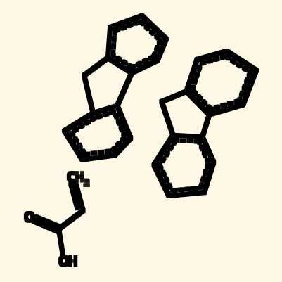 C=CC(=O)O.c1ccc2c(c1)Cc1ccccc1-2.c1ccc2c(c1)Cc1ccccc1-2